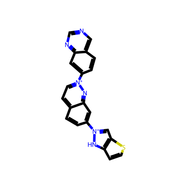 c1ncc2ccc(-[n+]3ccc4ccc(-[n+]5cc6sccc6[nH]5)cc4n3)cc2n1